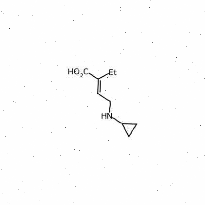 CC/C(=C\CNC1CC1)C(=O)O